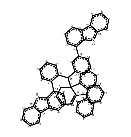 C1=CCC(c2ccccc2-c2ccccc2)(C(c2cccc(-c3cccc4c3sc3ccccc34)c2)c2ccccc2-c2cccc3c2oc2ccccc23)C(c2ccccc2)=C1